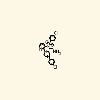 NCCN(c1cccnc1N1CCN(c2ccc(Cl)cc2)CC1)S(=O)(=O)c1ccc(Cl)cc1